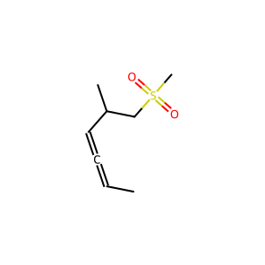 CC=C=CC(C)CS(C)(=O)=O